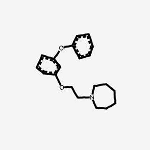 c1ccc(Oc2cccc(OCCN3CCCCCC3)c2)cc1